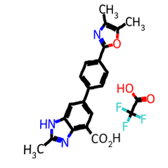 Cc1nc2c(C(=O)O)cc(-c3ccc(-c4nc(C)c(C)o4)cc3)cc2[nH]1.O=C(O)C(F)(F)F